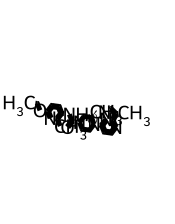 CCOc1ccc(NC(=O)N2CCN(c3ccnc4c(C)cnn34)[C@@H](C)C2)c(C)n1